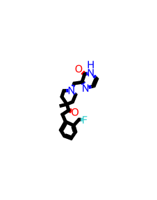 CC1(C(=O)Cc2ccccc2CF)CCN(Cc2ncc[nH]c2=O)CC1